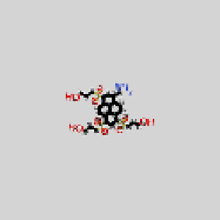 NCc1cc(S(=O)(=O)CCCO)c2ccc3c(S(=O)(=O)CCCO)cc(S(=O)(=O)CCCO)c4ccc1c2c43